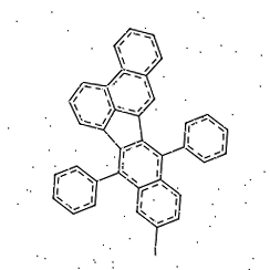 Ic1ccc2c(-c3ccccc3)c3c(c(-c4ccccc4)c2c1)-c1cccc2c1c-3cc1ccccc12